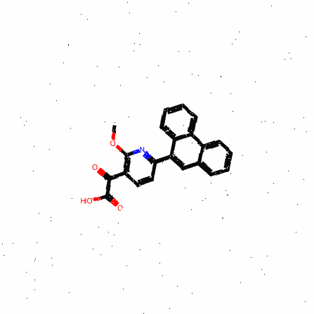 COc1nc(-c2cc3ccccc3c3ccccc23)ccc1C(=O)C(=O)O